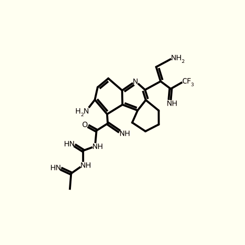 CC(=N)NC(=N)NC(=O)C(=N)c1c(N)ccc2nc(/C(=C/N)C(=N)C(F)(F)F)c3c(c12)CCCC3